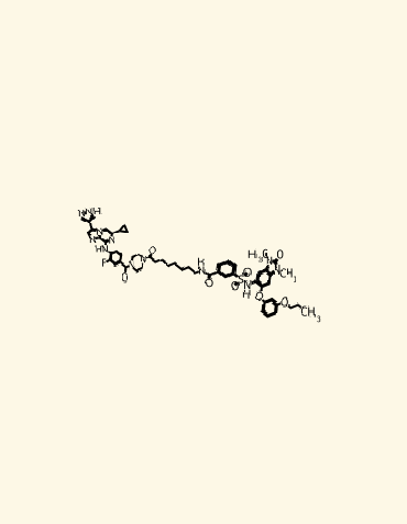 CCCOc1cccc(Oc2cc3c(cc2NS(=O)(=O)c2cccc(C(=O)NCCCCCCCC(=O)N4CCN(C(=O)c5ccc(Nc6nc(C7CC7)cn7c(-c8cn[nH]c8)cnc67)c(F)c5)CC4)c2)n(C)c(=O)n3C)c1